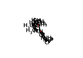 Cc1ncsc1-c1ccc(C(C)NC(=O)[C@@H]2C[C@@H](O)CN2C(=O)C(NC(=O)CCCCCC(=O)N2CCC3(CC2)CCN(c2cncc(Nc4ncc(Cl)c(-c5cccc(-c6ccccc6)c5)n4)c2)C3=O)C(C)(C)C)cc1